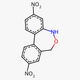 O=[N+]([O-])c1ccc2c(c1)CONc1cc([N+](=O)[O-])ccc1-2